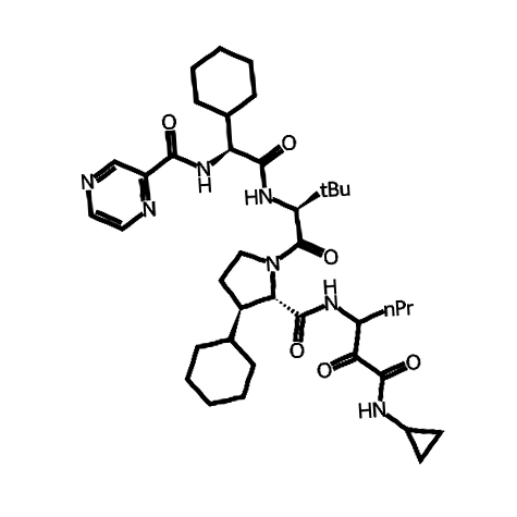 CCCC(NC(=O)[C@@H]1[C@@H](C2CCCCC2)CCN1C(=O)[C@@H](NC(=O)[C@@H](NC(=O)c1cnccn1)C1CCCCC1)C(C)(C)C)C(=O)C(=O)NC1CC1